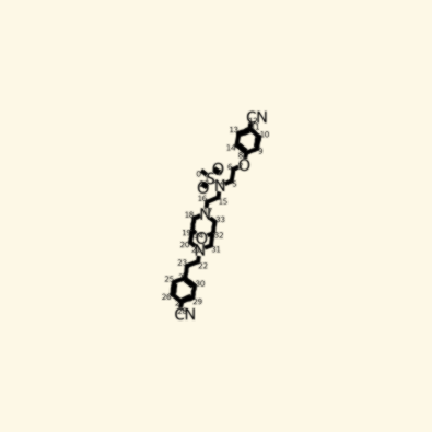 CS(=O)(=O)N(CCOc1ccc(C#N)cc1)CCN1CC2CN(CCc3ccc(C#N)cc3)CC(C1)O2